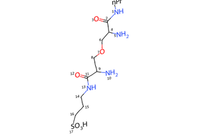 CCCNC(=O)C(N)COCC(N)C(=O)NCCCS(=O)(=O)O